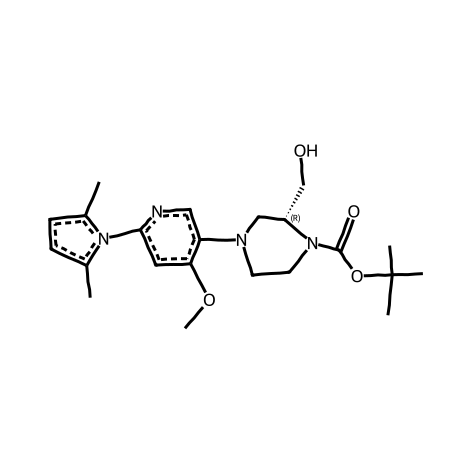 COc1cc(-n2c(C)ccc2C)ncc1N1CCN(C(=O)OC(C)(C)C)[C@@H](CO)C1